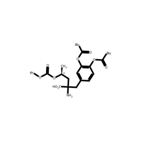 CCC(C)C(=O)Oc1ccc(CC(N)(C[C@H](C)OC(=O)OC(C)C)C(=O)O)cc1OC(=O)C(C)CC